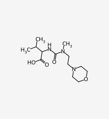 CC(C)C(NC(=O)N(C)CCN1CCOCC1)C(=O)O